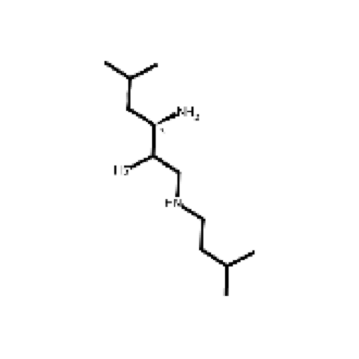 CC(C)CCNCC(S)[C@H](N)CC(C)C